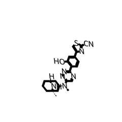 CN(c1cnc(-c2ccc(-c3csc(C#N)n3)cc2O)nn1)[C@H]1C[C@@H]2CCC[C@](C)(C1)N2